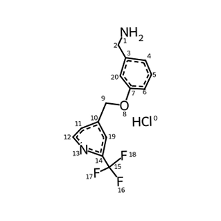 Cl.NCc1cccc(OCc2ccnc(C(F)(F)F)c2)c1